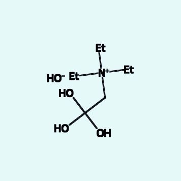 CC[N+](CC)(CC)CC(O)(O)O.[OH-]